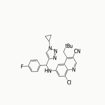 CC(C)(C)Cc1c(C#N)cnc2c(Cl)cc(NC(c3ccc(F)cc3)c3cn(C4CC4)nn3)cc12